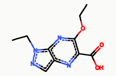 CCOc1nc2c(cnn2CC)nc1C(=O)O